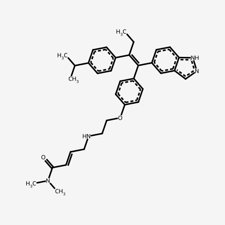 CC/C(=C(/c1ccc(OCCNC/C=C/C(=O)N(C)C)cc1)c1ccc2[nH]ncc2c1)c1ccc(C(C)C)cc1